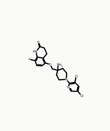 NC1(COc2ccc(F)c3c2CCC(=O)N3)CCN(c2ncc(Cl)cc2Cl)CC1